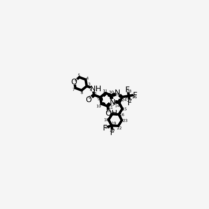 O=C(NC1CCOCC1)c1cc(O)n2c(CC3CCC(F)(F)CC3)c(C(F)(F)F)nc2c1